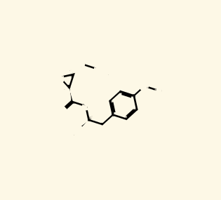 CCOC(=O)C[C@H]1O[C@@H]1C(=O)N[C@@H](Cc1ccc(OCC)cc1)C(=O)OCC